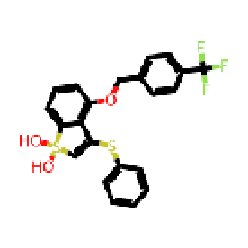 OS1(O)C=C(Sc2ccccc2)c2c(OCc3ccc(C(F)(F)F)cc3)cccc21